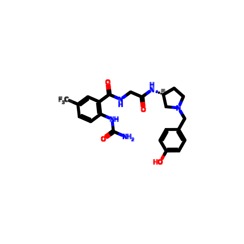 NC(=O)Nc1ccc(C(F)(F)F)cc1C(=O)NCC(=O)N[C@@H]1CCN(Cc2ccc(O)cc2)C1